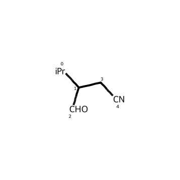 CC(C)C(C=O)CC#N